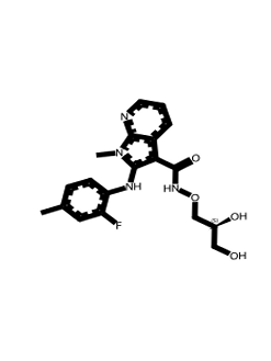 Cc1ccc(Nc2c(C(=O)NOC[C@@H](O)CO)c3cccnc3n2C)c(F)c1